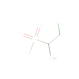 CC(CCl)S(=O)(=O)Cl